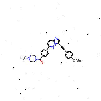 COc1ccc(C#Cc2cnc3ccc(-c4ccc(C(=O)N5CCN(C)CC5)cc4)nn23)cc1